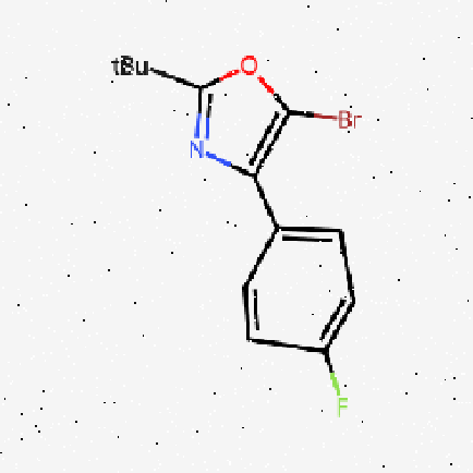 CC(C)(C)c1nc(-c2ccc(F)cc2)c(Br)o1